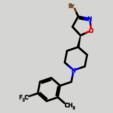 Cc1cc(C(F)(F)F)ccc1CN1CCC([C@H]2CC(Br)=NO2)CC1